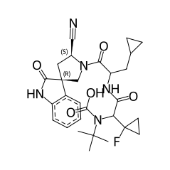 CC(C)(C)N(C(=O)O)C(C(=O)NC(CC1CC1)C(=O)N1C[C@]2(C[C@H]1C#N)C(=O)Nc1ccccc12)C1(F)CC1